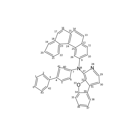 c1ccc(-c2ccc(N(c3ccc4ccc5ccc6ccccc6c5c4c3)c3nccc4c3oc3ccccc34)cc2)cc1